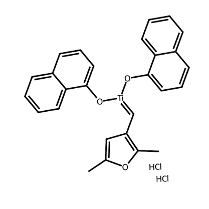 Cc1cc([CH]=[Ti]([O]c2cccc3ccccc23)[O]c2cccc3ccccc23)c(C)o1.Cl.Cl